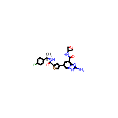 C[C@H](NC(=O)c1cc(-c2cc(C(=O)NC3COC3)c3nc(N)nn3c2)cs1)c1ccc(F)cc1